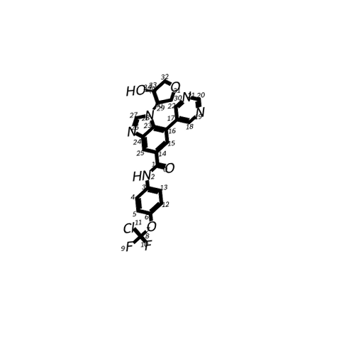 O=C(Nc1ccc(OC(F)(F)Cl)cc1)c1cc(-c2cncnc2)c2c(c1)ncn2[C@@H]1COC[C@@H]1O